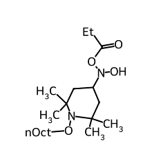 CCCCCCCCON1C(C)(C)CC(N(O)OC(=O)CC)CC1(C)C